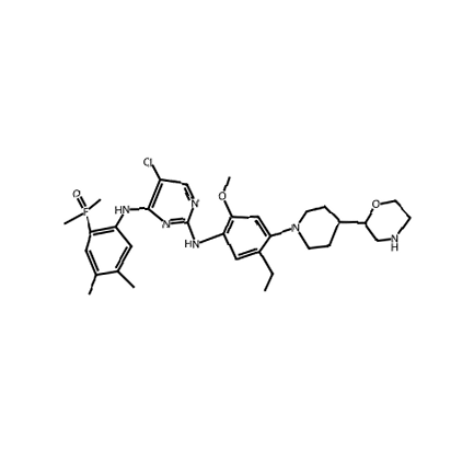 CCc1cc(Nc2ncc(Cl)c(Nc3cc(C)c(C)cc3P(C)(C)=O)n2)c(OC)cc1N1CCC(C2CNCCO2)CC1